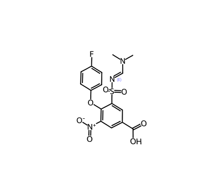 CN(C)/C=N/S(=O)(=O)c1cc(C(=O)O)cc([N+](=O)[O-])c1Oc1ccc(F)cc1